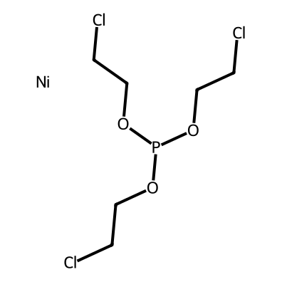 ClCCOP(OCCCl)OCCCl.[Ni]